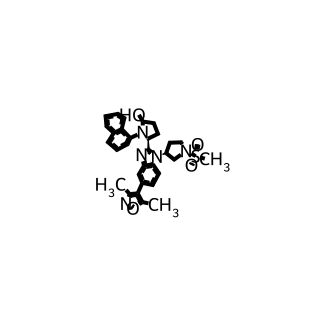 Cc1noc(C)c1-c1ccc2c(c1)nc([C@@H]1CCC(O)N1c1cccc3ccccc13)n2[C@@H]1CCN(S(C)(=O)=O)C1